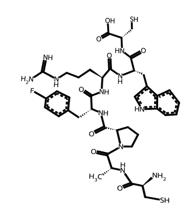 C[C@@H](NC(=O)[C@@H](N)CS)C(=O)N1CCC[C@H]1C(=O)N[C@H](Cc1ccc(F)cc1)C(=O)N[C@@H](CCCNC(=N)N)C(=O)N[C@@H](Cc1c[nH]c2ccccc12)C(=O)N[C@@H](CS)C(=O)O